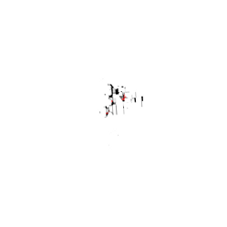 CC/C=C\C/C=C\C/C=C\C/C=C\C/C=C\CCCC(=O)NCCSSCC(NC(=O)CCCc1ccccc1)C(=O)NC(CO)CO